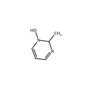 CC1N=CC=CN1O